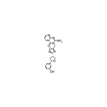 Nc1nc2ncccc2c(=O)n1Cc1nc([C@@H]2CO[C@@H](c3cccc(O)c3)C2)no1